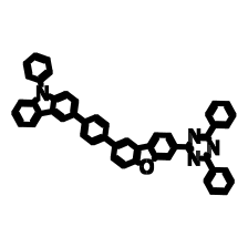 c1ccc(-c2nc(-c3ccccc3)nc(-c3ccc4c(c3)oc3ccc(-c5ccc(-c6ccc7c(c6)c6ccccc6n7-c6ccccc6)cc5)cc34)n2)cc1